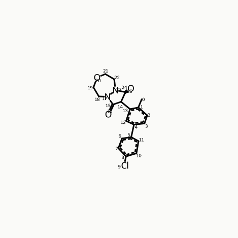 Cc1ccc(-c2ccc(Cl)cc2)cc1C1C(=O)N2CCOCCN2C1=O